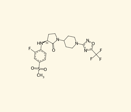 CS(=O)(=O)c1ccc(N[C@H]2CCN(C3CCN(c4noc(C(F)(F)F)n4)CC3)C2=O)c(F)c1